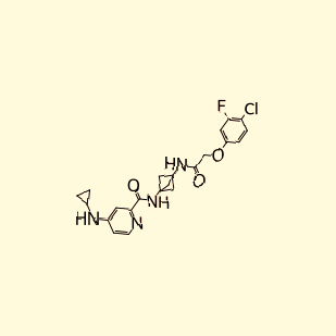 O=C(COc1ccc(Cl)c(F)c1)NC12CC(NC(=O)c3cc(NC4CC4)ccn3)(C1)C2